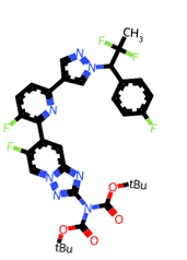 CC(C)(C)OC(=O)N(C(=O)OC(C)(C)C)c1nc2cc(-c3nc(-c4cnn(C(c5ccc(F)cc5)C(C)(F)F)c4)ccc3F)c(F)cn2n1